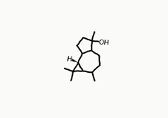 CC1CCC2C(CCC2(C)O)[C@@H]2C1C2(C)C